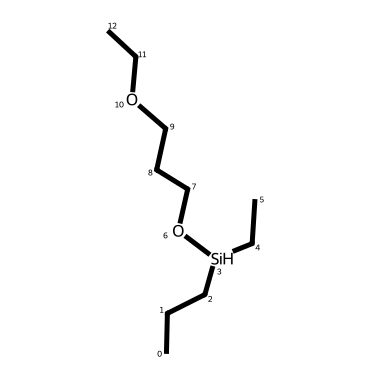 CCC[SiH](CC)OCCCOCC